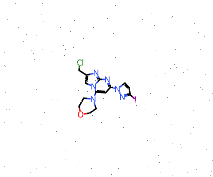 ClCc1cn2c(N3CCOCC3)cc(-n3ccc(I)n3)nc2n1